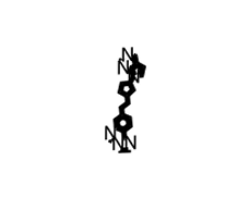 C1=Nc2cc(CCC3CCC(n4ccc5cncnc54)C3)ccc2C2=NCCN12